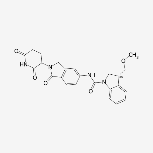 COC[C@H]1CN(C(=O)Nc2ccc3c(c2)CN(C2CCC(=O)NC2=O)C3=O)c2ccccc21